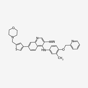 Cc1cc(Nc2c(C#N)cnc3cc(-c4csc(CN5CCOCC5)c4)ccc23)ccc1OCc1ccccn1